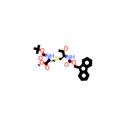 COC(=O)[C@@H](CSC[C@H](NC(=O)OCC1c2ccccc2-c2ccccc21)C(C)=O)NC(=O)OC(C)(C)C